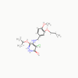 CCCOc1cc(CNc2c(OC(C)C)n[nH]c(=O)c2Cl)ccc1OC